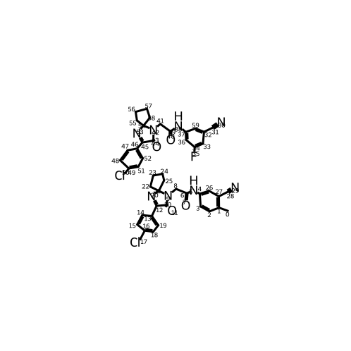 Cc1ccc(NC(=O)CN2C(=O)C(c3ccc(Cl)cc3)=NC23CCCC3)cc1C#N.N#Cc1cc(F)cc(NC(=O)CN2C(=O)C(c3ccc(Cl)cc3)=NC23CCCC3)c1